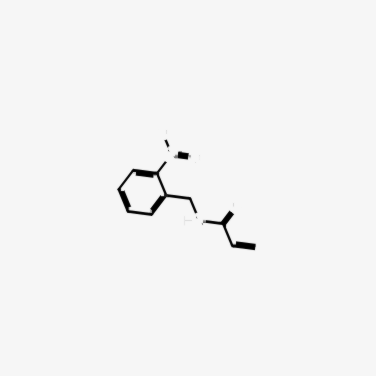 C=CC(=O)NCc1ccccc1[N+](=O)[O-]